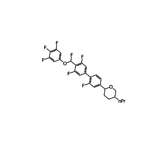 CCCC1CCC(c2ccc(-c3cc(F)c(C(F)Oc4cc(F)c(F)c(F)c4)c(F)c3)c(F)c2)OC1